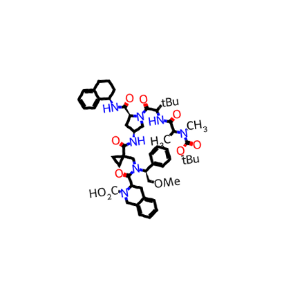 COC[C@H](c1ccccc1)N(CC1(C(=O)N[C@H]2C[C@@H](C(=O)N[C@@H]3CCCc4ccccc43)N(C(=O)C(NC(=O)C(C)N(C)C(=O)OC(C)(C)C)C(C)(C)C)C2)CC1)C(=O)C1Cc2ccccc2CN1C(=O)O